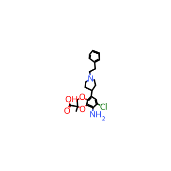 CC1(C(=O)O)COc2c(C3CCN(CCc4ccccc4)CC3)cc(Cl)c(N)c2O1